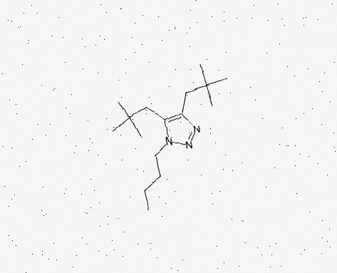 CCCCn1nnc(CC(C)(C)C)c1CC(C)(C)C